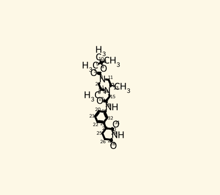 C[C@@H]1CN(C(=O)OC(C)(C)C)C[C@H](C)N1CC(=O)Nc1cccc(C2CCC(=O)NC2=O)c1